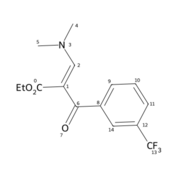 CCOC(=O)C(=CN(C)C)C(=O)c1cccc(C(F)(F)F)c1